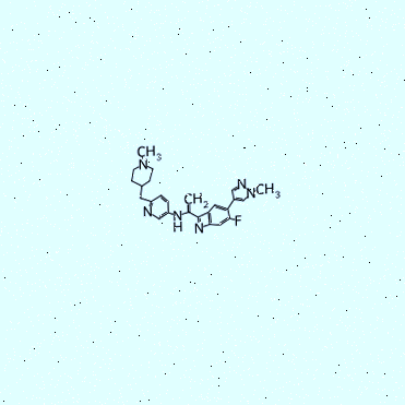 C=C(Nc1ccc(CC2CCN(C)CC2)nc1)C1=Nc2cc(F)c(-c3cnn(C)c3)cc21